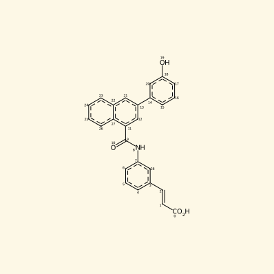 O=C(O)C=Cc1cccc(NC(=O)c2cc(-c3cccc(O)c3)cc3ccccc23)c1